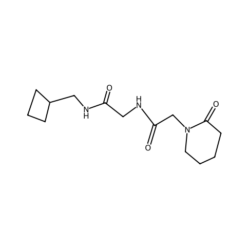 O=C(CNC(=O)CN1CCCCC1=O)NCC1CCC1